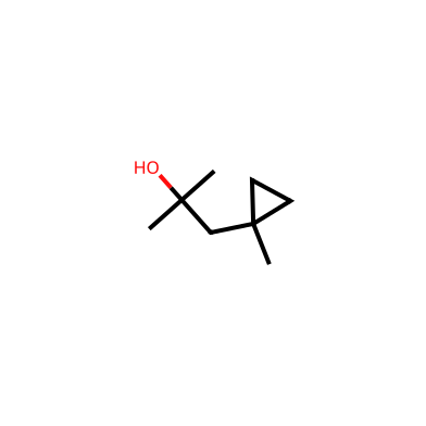 CC(C)(O)CC1(C)CC1